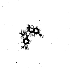 CC(=O)N=C(NC1c2cc(C#N)ccc2OC(C)(C)C1O)c1ccc([N+](=O)[O-])cc1